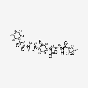 O=C(CC(=O)N1CCN(c2ccc(N3C[C@H](CNC(=O)c4ccoc4)OC3=O)cc2F)CC1)c1ccccc1